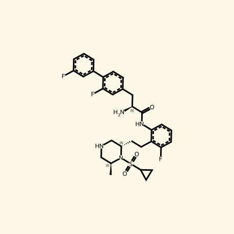 C[C@H]1CNC[C@H](CCc2c(F)cccc2NC(=O)[C@@H](N)Cc2ccc(-c3cccc(F)c3)c(F)c2)N1S(=O)(=O)C1CC1